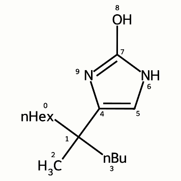 CCCCCCC(C)(CCCC)c1c[nH]c(O)n1